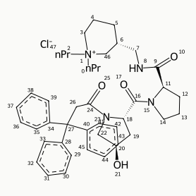 CCC[N+]1(CCC)CCC[C@H](CNC(=O)[C@H]2CCCN2C(=O)[C@@H]2C[C@@H](O)CN2C(=O)CC(c2ccccc2)(c2ccccc2)c2ccccc2)C1.[Cl-]